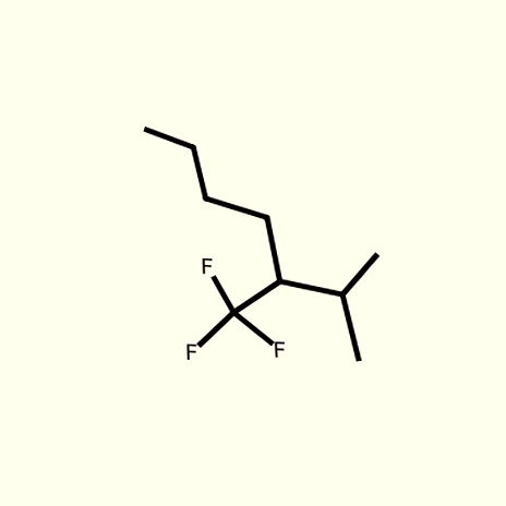 CCCCC(C(C)C)C(F)(F)F